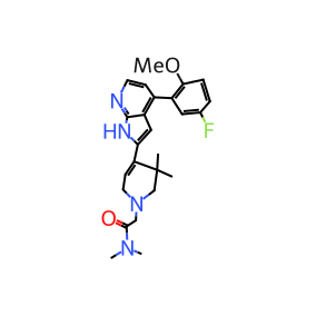 COc1ccc(F)cc1-c1ccnc2[nH]c(C3=CCN(CC(=O)N(C)C)CC3(C)C)cc12